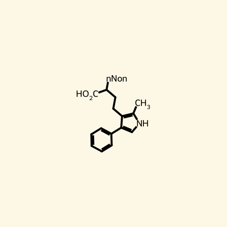 CCCCCCCCCC(CCc1c(-c2ccccc2)c[nH]c1C)C(=O)O